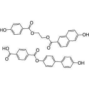 O=C(O)c1ccc(C(=O)Oc2ccc(-c3ccc(O)cc3)cc2)cc1.O=C(OCCOC(=O)c1ccc2cc(O)ccc2c1)c1ccc(O)cc1